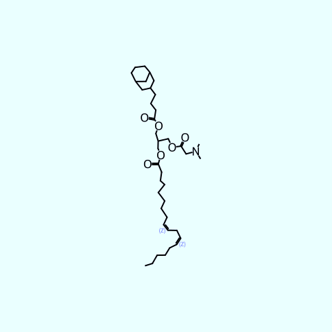 CCCCC/C=C\C/C=C\CCCCCCCC(=O)OCC(COC(=O)CCCC1CC2CCCC(C1)C2)COC(=O)CN(C)C